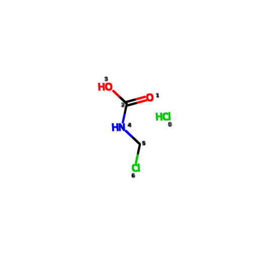 Cl.O=C(O)NCCl